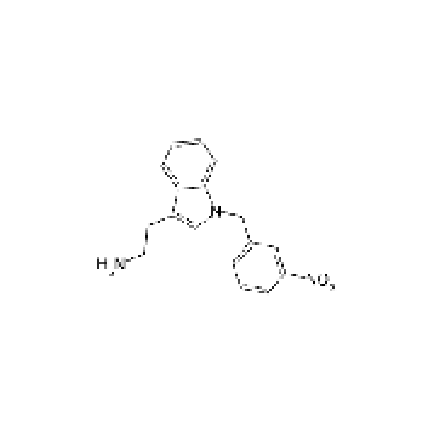 NCCc1cn(Cc2cccc([N+](=O)[O-])c2)c2ccccc12